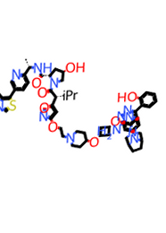 Cc1ncsc1-c1ccc([C@H](C)NC(=O)[C@@H]2C[C@@H](O)CN2C(=O)[C@@H](c2cc(OCCN3CCC(O[C@H]4C[C@H](Oc5cc(N6C7CCC6CN(c6cc(-c8ccccc8O)nnc6N)C7)ccn5)C4)CC3)no2)C(C)C)nc1